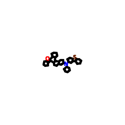 c1ccc(N(c2ccc3c(ccc4c3c3ccccc3c3oc5ccccc5c43)c2)c2ccc3sc4ccccc4c3c2)cc1